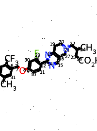 Cc1ccc(C(F)(F)F)c(COc2ccc(-c3ncc4c(n3)CCN(CC(C)CC(=O)O)C4)c(F)c2)c1